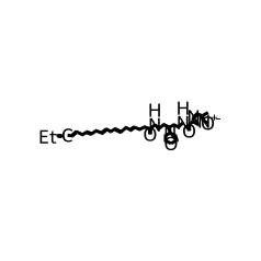 CCC=CCC=CCC=CCC=CCC=CCC=CCCC(=O)NCCC(CCNC(=O)c1c[n+]([O-])c(C)cn1)N1CCOCC1